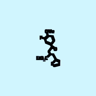 CCOC(=O)C(CC(=O)c1ccc(OC)c(F)c1)Cc1cccs1